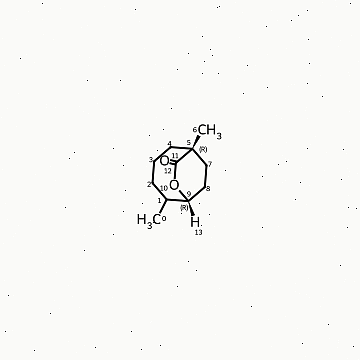 CC1CCC[C@]2(C)CC[C@H]1OC2=O